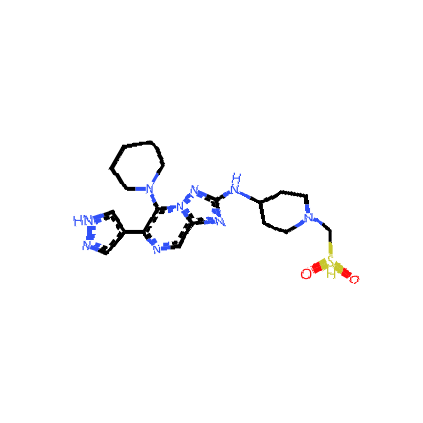 O=[SH](=O)CN1CCC(Nc2nc3cnc(-c4cn[nH]c4)c(N4CCCCC4)n3n2)CC1